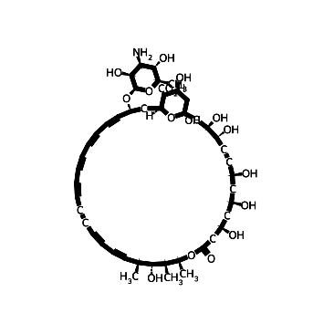 C[C@H]1[C@H](O)[C@@H](C)C=CC=CCCC=CC=CC=CC=C[C@H](O[C@@H]2O[C@H](C)[C@@H](O)[C@H](N)[C@@H]2O)C[C@@H]2O[C@](O)(C[C@@H](O)[C@H](O)CC[C@@H](O)C[C@@H](O)C[C@@H](O)CC(=O)O[C@H]1C)C[C@H](O)[C@H]2C(=O)O